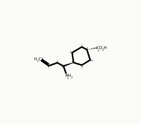 C=CCC(N)[C@H]1CC[C@H](C(=O)O)CC1